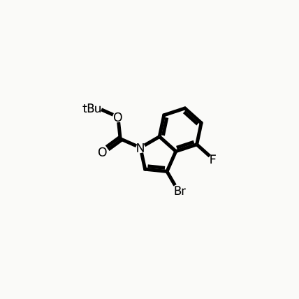 CC(C)(C)OC(=O)n1cc(Br)c2c(F)cccc21